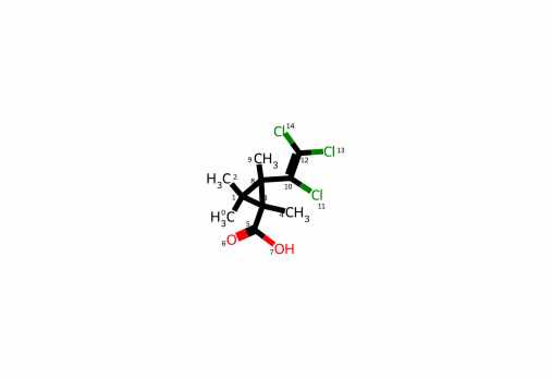 CC1(C)C(C)(C(=O)O)C1(C)C(Cl)=C(Cl)Cl